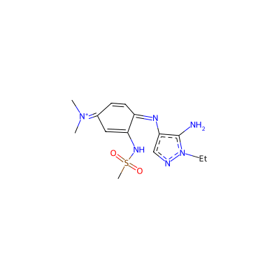 CCn1ncc(/N=C2/C=CC(=[N+](C)C)C=C2NS(C)(=O)=O)c1N